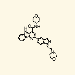 O=C(NN1CCOCC1)c1cc(-c2ccc3c(cnn3CCN3CCOCC3)c2)nc2c1[nH]c1ccccc12